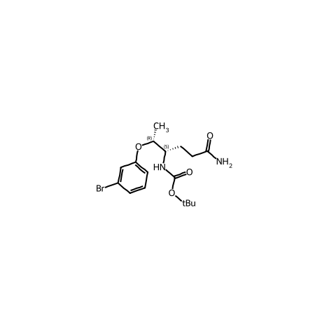 C[C@@H](Oc1cccc(Br)c1)[C@H](CCC(N)=O)NC(=O)OC(C)(C)C